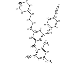 Cc1cc(C)c(Nc2nc(Nc3ccc(C#N)cc3)nc(OCCCC3CCNCC3)n2)c(C)c1